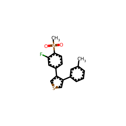 Cc1cccc(-c2cscc2-c2ccc(S(C)(=O)=O)c(F)c2)c1